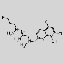 CN(C/C(N)=C/N(N)CCCF)Cc1ccc2c(Cl)cc(Cl)c(O)c2n1